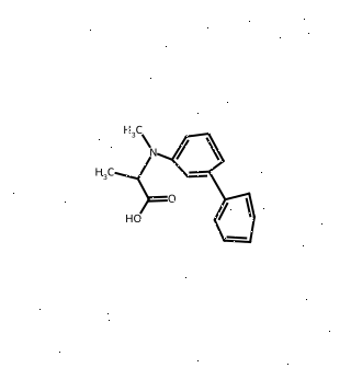 CC(C(=O)O)N(C)c1cccc(-c2ccccc2)c1